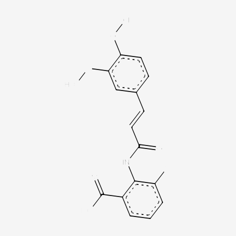 COc1ccc(C=CC(=O)Nc2c(Cl)cccc2C(=O)O)cc1OC